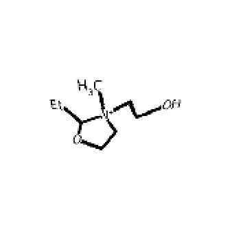 CCC1OCC[N+]1(C)CCO